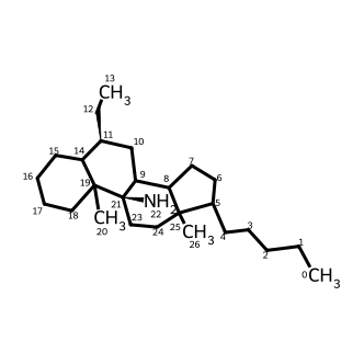 CCCCCC1CCC2C3C[C@H](CC)C4CCCCC4(C)[C@@]3(N)CCC12C